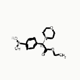 CCOC(=O)[C@H](c1ccc(B(O)O)cc1)N1CCOCC1